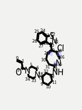 C=CC(=O)N1CCN([C@H]2CCC[C@@H](N/C3=N/C=C(Cl)\C(c4nsc5ccccc45)=C/CC3)C2)CC1